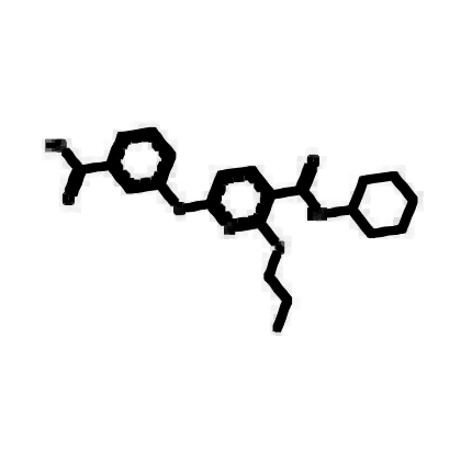 CCCSc1nc(Oc2cccc(C(=O)O)c2)ccc1C(=O)NC1CCCCC1